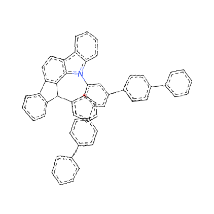 c1ccc(-c2ccc(-c3cc(-c4ccc(-c5ccccc5)cc4)cc(-n4c5ccccc5c5ccc6c(c54)C(c4ccccc4)c4ccccc4-6)c3)cc2)cc1